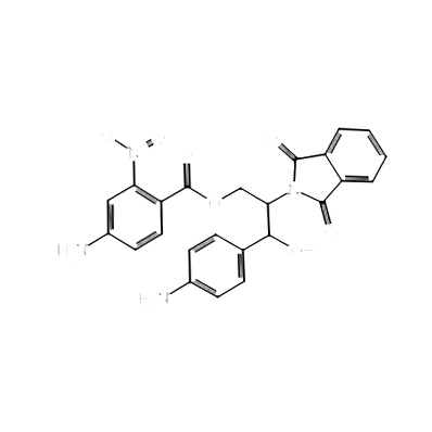 Nc1ccc(C(O)C(COC(=O)c2ccc(N)cc2[N+](=O)[O-])N2C(=O)c3ccccc3C2=O)cc1